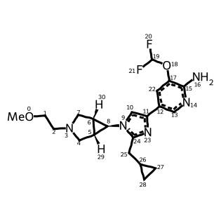 COCCN1C[C@@H]2[C@H](C1)[C@H]2n1cc(-c2cnc(N)c(OC(F)F)c2)nc1CC1CC1